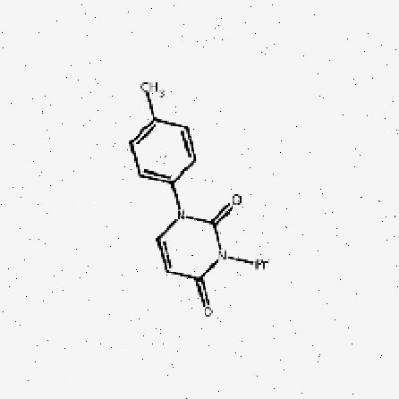 Cc1ccc(-n2ccc(=O)n(C(C)C)c2=O)cc1